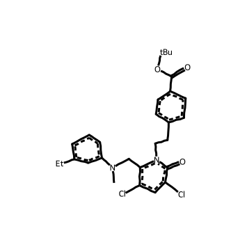 CCc1cccc(N(C)Cc2c(Cl)cc(Cl)c(=O)n2CCc2ccc(C(=O)OC(C)(C)C)cc2)c1